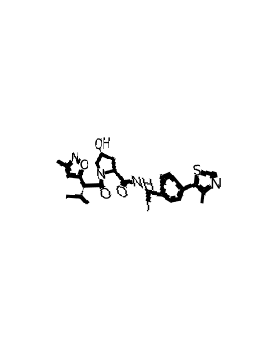 Cc1cc([C@H](C(=O)N2C[C@H](O)CC2C(=O)NC(I)c2ccc(-c3scnc3C)cc2)C(C)C)on1